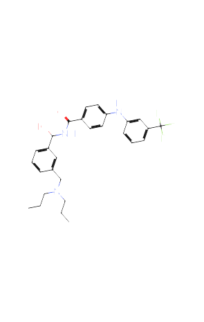 CCCN(CCC)Cc1cccc(C(O)NC(=O)c2ccc(Nc3cccc(C(F)(F)F)c3)cc2)c1